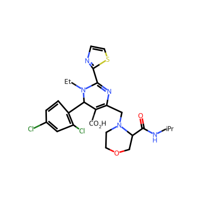 CCN1C(c2nccs2)=NC(CN2CCOCC2C(=O)NC(C)C)=C(C(=O)O)C1c1ccc(Cl)cc1Cl